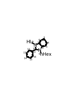 CCCCCCN1c2ccccc2N(C)C1c1ccccc1.I